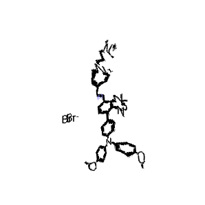 COc1ccc(N(c2ccc(OC)cc2)c2ccc(-c3ccc(/C=C/c4cc[n+](CCC[N+](C)(C)C)cc4)c4nsnc34)cc2)cc1.[Br-].[Br-]